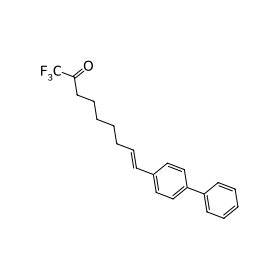 O=C(CCCCCC=Cc1ccc(-c2ccccc2)cc1)C(F)(F)F